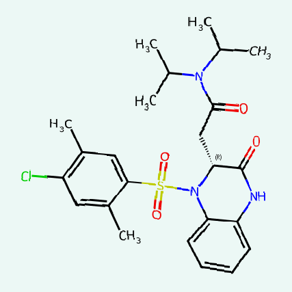 Cc1cc(S(=O)(=O)N2c3ccccc3NC(=O)[C@H]2CC(=O)N(C(C)C)C(C)C)c(C)cc1Cl